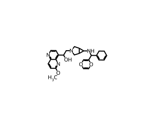 COc1ccc2nccc(C(O)CN3CC4C(C3)C4NC(C3=CC=CCC3)C3=COC=CO3)c2n1